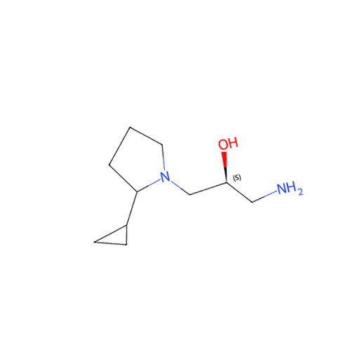 NC[C@H](O)CN1CCCC1C1CC1